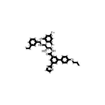 CCCOc1ccc(-c2cc(C(=O)N[C@@H](Cc3cc(F)cc(F)c3)[C@H](O)CNCc3cccc(CC)c3)cc(-c3nccs3)c2)cc1